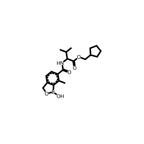 Cc1c(C(=O)NC(C(=O)OCC2CCCC2)C(C)C)ccc2c1B(O)OC2